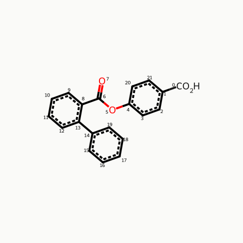 O=C(O)c1ccc(OC(=O)c2ccccc2-c2ccccc2)cc1